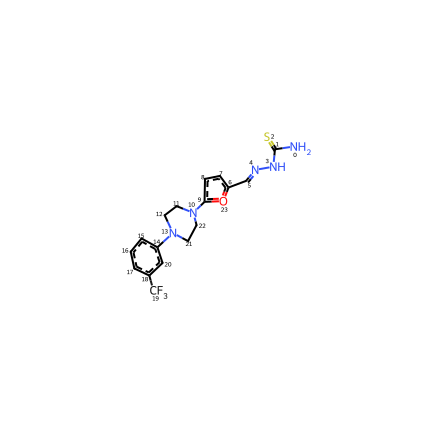 NC(=S)N/N=C/c1ccc(N2CCN(c3cccc(C(F)(F)F)c3)CC2)o1